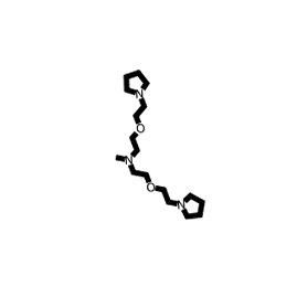 CN(CCOCCN1CCCC1)CCOCCN1CCCC1